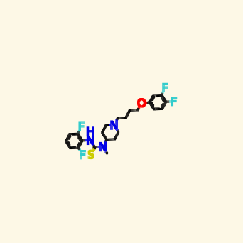 CN(C(=S)Nc1c(F)cccc1F)C1CCN(CCCCOc2ccc(F)c(F)c2)CC1